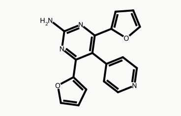 Nc1nc(-c2ccco2)c(-c2ccncc2)c(-c2ccco2)n1